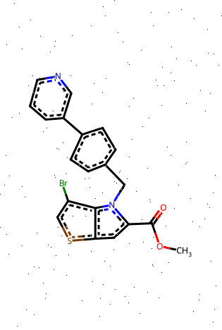 COC(=O)c1cc2scc(Br)c2n1Cc1ccc(-c2cccnc2)cc1